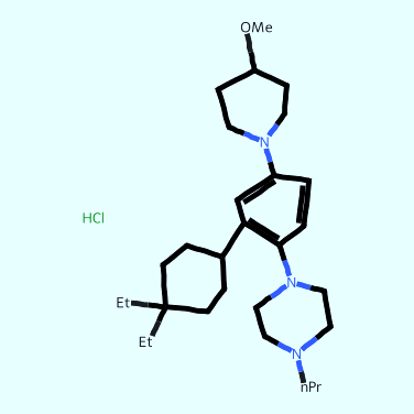 CCCN1CCN(c2ccc(N3CCC(OC)CC3)cc2C2CCC(CC)(CC)CC2)CC1.Cl